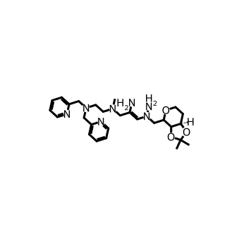 CN(CCN(Cc1ccccn1)Cc1ccccn1)C/C(N)=C/N(N)CC1OCC[C@H]2OC(C)(C)OC12